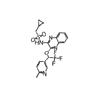 Cc1ccc(C(Oc2nc3ccccc3nc2NS(=O)(=O)CC2CC2)C(F)(F)F)cn1